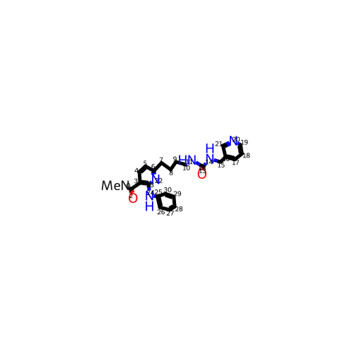 CNC(=O)c1ccc(CCCCNC(=O)NCc2cccnc2)nc1Nc1ccccc1